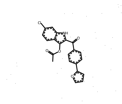 CC(=O)Oc1c(C(=O)c2ccc(-c3ccco3)cc2)[nH]c2cc(Cl)ccc12